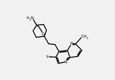 Cc1ccc2ncc(F)c(CCC34CCC(N)(CC3)CO4)c2n1